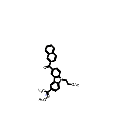 CC(=O)OCCn1c2ccc(C(=O)c3ccc4ccccc4c3)cc2c2cc(/C(C)=N/OC(C)=O)ccc21